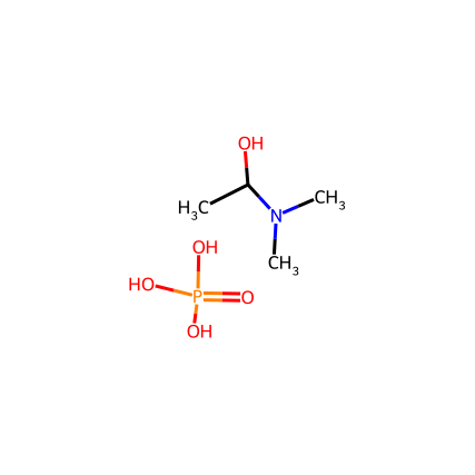 CC(O)N(C)C.O=P(O)(O)O